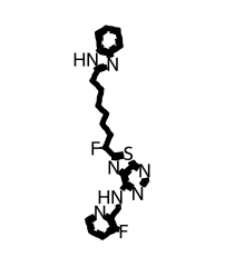 Fc1cccnc1CNc1ncnc2sc([C@H](F)CCCCCCc3nc4ccccc4[nH]3)nc12